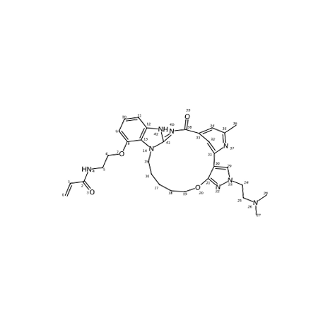 C=CC(=O)NCCOc1cccc2c1N1CCCCCOc3nn(CCN(C)C)cc3-c3cc(cc(C)n3)C(=O)/N=C/1N2